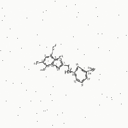 Fc1cc(F)c2sc(CNc3cccc(Br)c3)nc2c1F